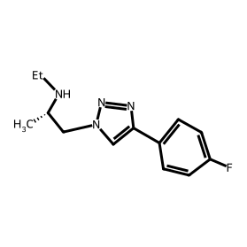 CCN[C@@H](C)Cn1cc(-c2ccc(F)cc2)nn1